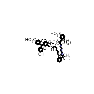 C=C(/C=C/C=C/C=C1\N(CCCCCC(=O)NCc2c3oc4cc(O)ccc4c(-c4ccc(C(=O)O)cc4C(=O)O)c-3ccc2=O)c2ccccc2C1(C)C)C(C)(C)c1cc(S(=O)(=O)O)ccc1C